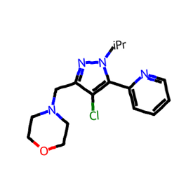 CC(C)n1nc(CN2CCOCC2)c(Cl)c1-c1ccccn1